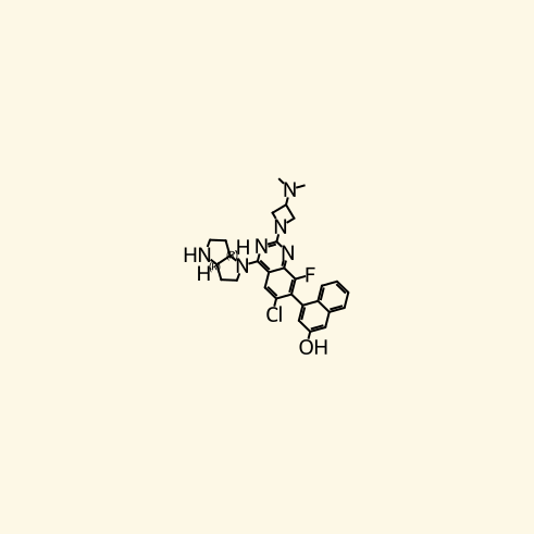 CN(C)C1CN(c2nc(N3CC[C@H]4NCC[C@H]43)c3cc(Cl)c(-c4cc(O)cc5ccccc45)c(F)c3n2)C1